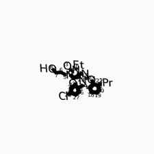 CCn1c(=O)n(CCCO)c(=O)c2c1nc(Oc1ccccc1C(C)C)n2Cc1ccc(Cl)cc1